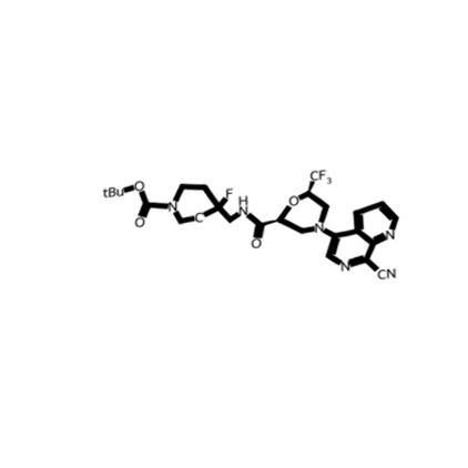 CC(C)(C)OC(=O)N1CCC(F)(CNC(=O)[C@@H]2CN(c3cnc(C#N)c4ncccc34)C[C@H](C(F)(F)F)O2)CC1